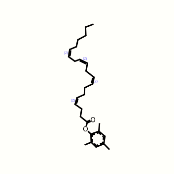 CCCCC/C=C\C/C=C\C/C=C\CC/C=C\CCC(=O)Oc1c(C)cc(C)cc1C